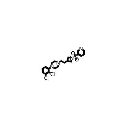 O=S(=O)(c1cccnc1)N1CC(CCN2CCN(c3cccc(Cl)c3Cl)CC2)C1